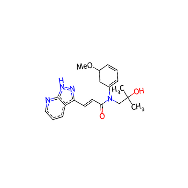 COC1C=CC=C(N(CC(C)(C)O)C(=O)/C=C/c2n[nH]c3ncccc23)C1